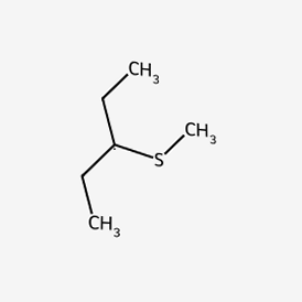 CC[C](CC)SC